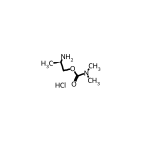 C[C@@H](N)COC(=O)N(C)C.Cl